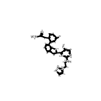 NC(=O)Cc1ccc(F)cc1-c1cccc2cc(-c3nc(NCCn4ccnn4)ncc3F)sc12